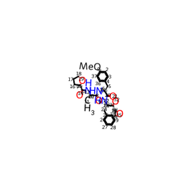 COc1ccc(C[C@H](NC(=O)[C@H](C)NC(=O)[C@H]2CCCO2)C(=O)N[C@@H](Cc2ccccc2)C(=O)[C@H]2CO2)cc1